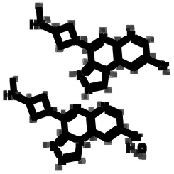 CNC1CN(c2nc3ncc(Br)cc3n3cnnc23)C1.CNC1CN(c2nc3ncc(Br)cc3n3cnnc23)C1.O